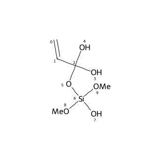 C=CC(O)(O)O[Si](O)(OC)OC